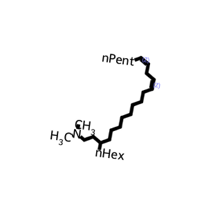 CCCCC/C=C\C/C=C\CCCCCCCCC(CCCCCC)CCN(C)C